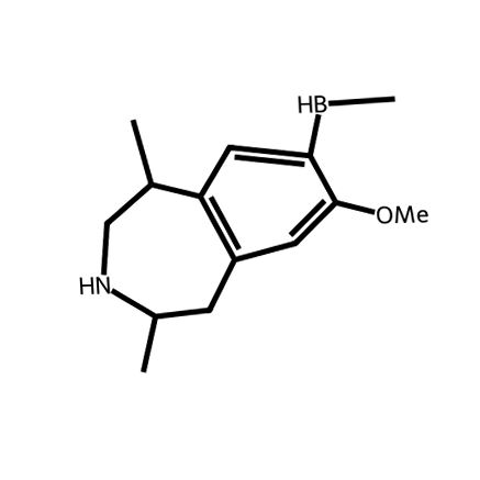 CBc1cc2c(cc1OC)CC(C)NCC2C